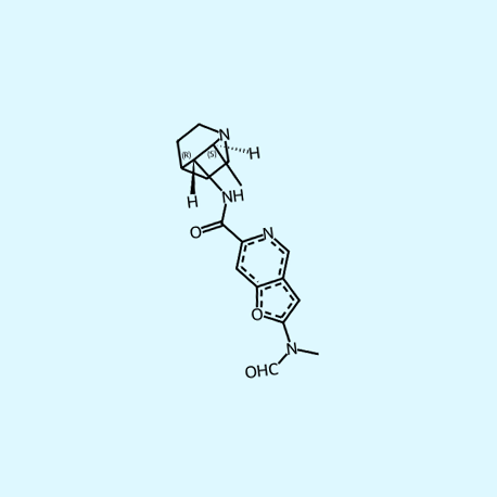 C[C@H]1[C@H](NC(=O)c2cc3oc(N(C)C=O)cc3cn2)C2CCN1CC2